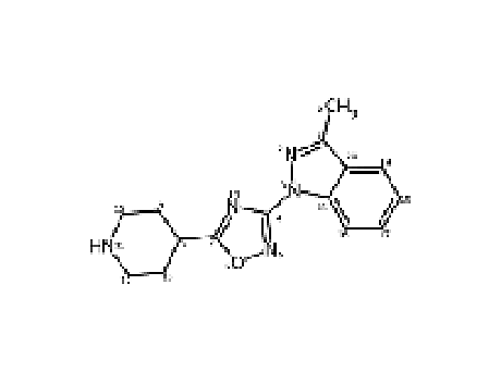 Cc1nn(-c2noc(C3CCNCC3)n2)c2ccccc12